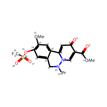 COC(=O)c1cn2c(cc1=O)-c1cc(OC)c(OS(=O)(=O)C(F)(F)F)cc1CN2C(C)C